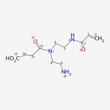 C=CC(=O)NCCN(CCN)C(=O)CCC(=O)O